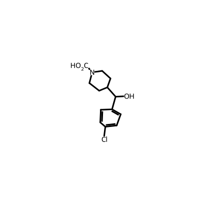 O=C(O)N1CCC(C(O)c2ccc(Cl)cc2)CC1